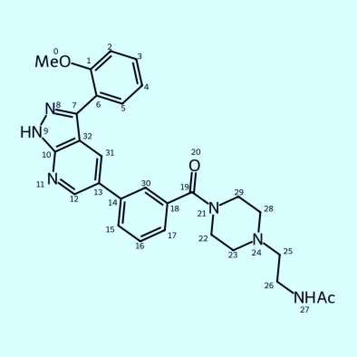 COc1ccccc1-c1n[nH]c2ncc(-c3cccc(C(=O)N4CCN(CCNC(C)=O)CC4)c3)cc12